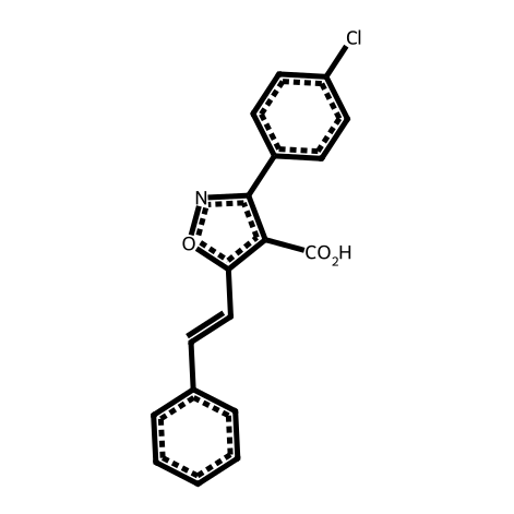 O=C(O)c1c(-c2ccc(Cl)cc2)noc1C=Cc1ccccc1